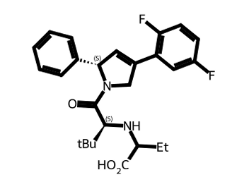 CCC(N[C@H](C(=O)N1CC(c2cc(F)ccc2F)=C[C@H]1c1ccccc1)C(C)(C)C)C(=O)O